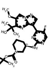 COc1cn2ncc(-c3nc(N[C@@H]4CCCN(C(=O)OC(C)(C)C)C4)ncc3F)c2nc1C(C)(C)O